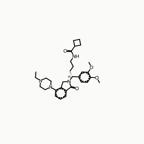 CCN1CCN(c2cccc3c2CN([C@H](CCCNC(=O)C2CCC2)c2ccc(OC)c(OC)c2)C3=O)CC1